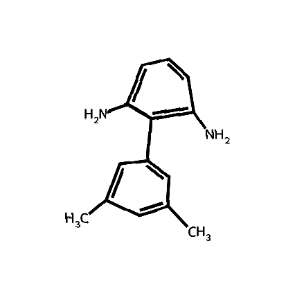 Cc1cc(C)cc(-c2c(N)cccc2N)c1